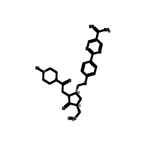 N=C(N)c1cnc(-c2ccc(OC[C@@H]3C[C@@H](CC(=O)O)C(=O)N3CC(=O)N3CC[S+]([O-])CC3)cc2)nc1